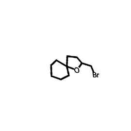 BrCC1CCC2(CCCCC2)O1